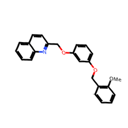 COc1ccc[c]c1COc1cccc(OCc2ccc3ccccc3n2)c1